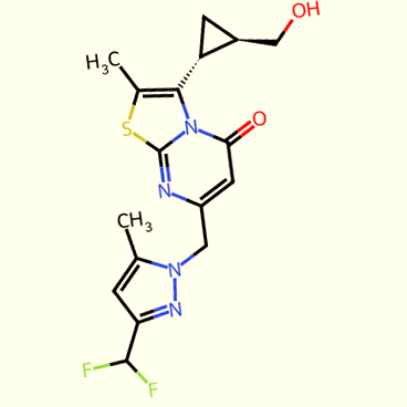 Cc1sc2nc(Cn3nc(C(F)F)cc3C)cc(=O)n2c1[C@@H]1C[C@H]1CO